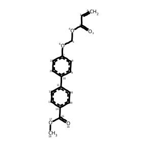 C=CC(=O)OCOc1ccc(-c2ccc(C(=O)OC)cc2)cc1